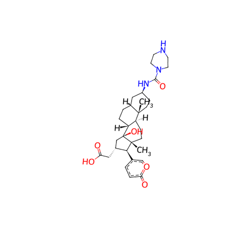 C[C@]12CC[C@H](NC(=O)N3CCNCC3)C[C@H]1CC[C@@H]1[C@@H]2CC[C@]2(C)[C@@H](c3ccc(=O)oc3)[C@H](CC(=O)O)C[C@]12O